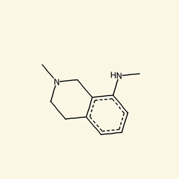 CNc1cccc2c1CN(C)CC2